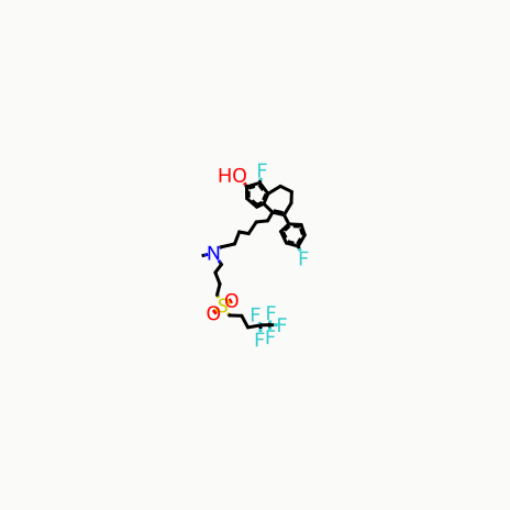 CN(CCCCCCC1=C(c2ccc(F)cc2)CCCc2c1ccc(O)c2F)CCCCS(=O)(=O)CCCC(F)(F)C(F)(F)F